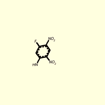 [NH]c1cc(F)c([N+](=O)[O-])cc1[N+](=O)[O-]